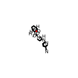 N#Cc1ccc(N[C@@H]2CCN(C(=O)O[C@H]3C[C@H]4CC[C@@H](C3)N4C(N)=O)C2)nc1